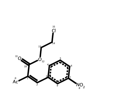 CC(=O)C(=Cc1cccc([N+](=O)[O-])c1)C(=O)OCCCl